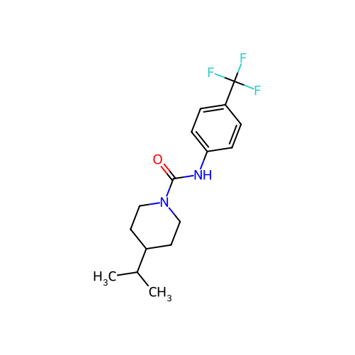 CC(C)C1CCN(C(=O)Nc2ccc(C(F)(F)F)cc2)CC1